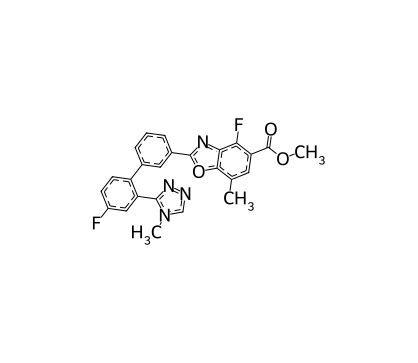 COC(=O)c1cc(C)c2oc(-c3cccc(-c4ccc(F)cc4-c4nncn4C)c3)nc2c1F